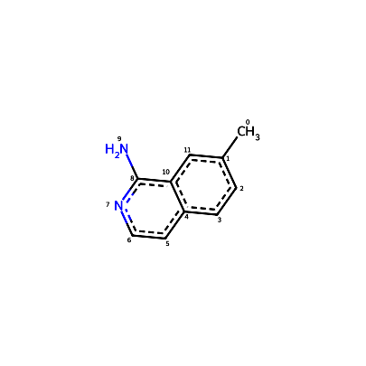 Cc1ccc2ccnc(N)c2c1